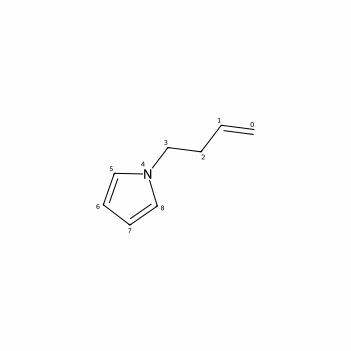 C=CCCn1cccc1